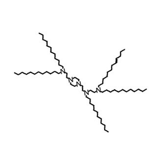 CCC/C=C/CCCCCCCN(CCCCCCCCCCCC)CCN(CCCCCCCCCCCC)CCN1CCN(CCN(CCCCCCCCCCCC)CCCCCCCCCCCC)CC1